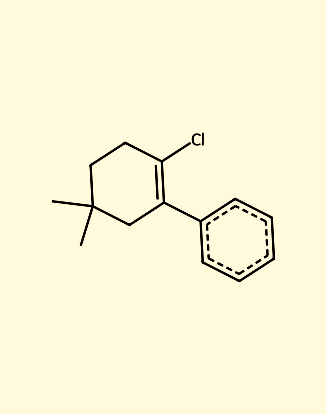 CC1(C)CCC(Cl)=C(c2ccccc2)C1